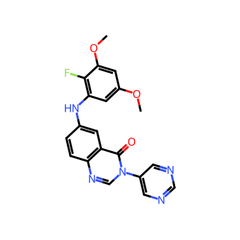 COc1cc(Nc2ccc3ncn(-c4cncnc4)c(=O)c3c2)c(F)c(OC)c1